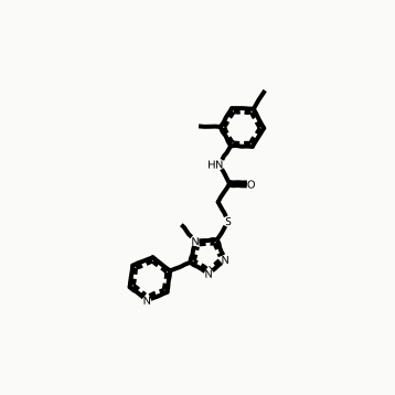 Cc1ccc(NC(=O)CSc2nnc(-c3cccnc3)n2C)c(C)c1